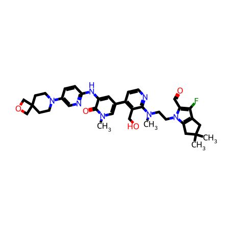 CN(CCn1c(C=O)c(F)c2c1CC(C)(C)C2)c1nccc(-c2cc(Nc3ccc(N4CCC5(CC4)COC5)cn3)c(=O)n(C)c2)c1CO